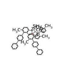 Cc1ccc(C2=Cc3c(ccc(C)c3-c3ccc(-c4ccccc4)cc3)[CH]2[Zr]([CH3])([CH3])(=[SiH2])[CH]2C(c3ccc(C)o3)=Cc3c2ccc(C)c3-c2ccc(-c3ccccc3)cc2)o1